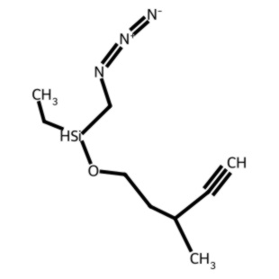 C#CC(C)CCO[SiH](CC)CN=[N+]=[N-]